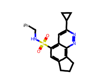 CC(C)CNS(=O)(=O)c1cc2c(c3nnc(C4CC4)cc13)CCC2